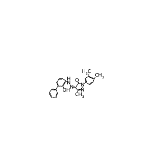 CC1=NN(c2ccc(C)c(C)c2)C(=O)C1=NNc1cccc(-c2ccccc2)c1O